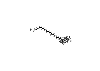 CCCC/C=C\CCCCCCCCCCCCCCCCCC(O)(C[N+](C)(C)C)P(=O)(O)O